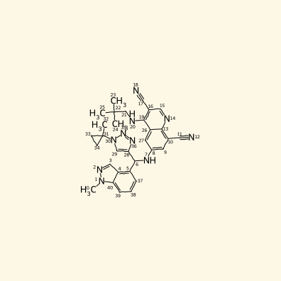 Cn1ncc2c(C(Nc3cc(C#N)c4ncc(C#N)c(NCC(C)(C)C)c4c3)c3cn(C4(C)CC4)nn3)cccc21